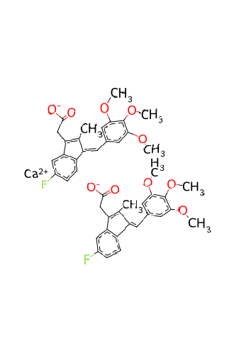 COc1cc(C=C2C(C)=C(CC(=O)[O-])c3cc(F)ccc32)cc(OC)c1OC.COc1cc(C=C2C(C)=C(CC(=O)[O-])c3cc(F)ccc32)cc(OC)c1OC.[Ca+2]